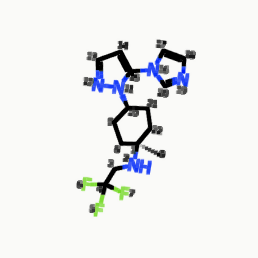 C[C@]1(NCC(F)(F)F)CC[C@@H](n2nccc2-n2ccnc2)CC1